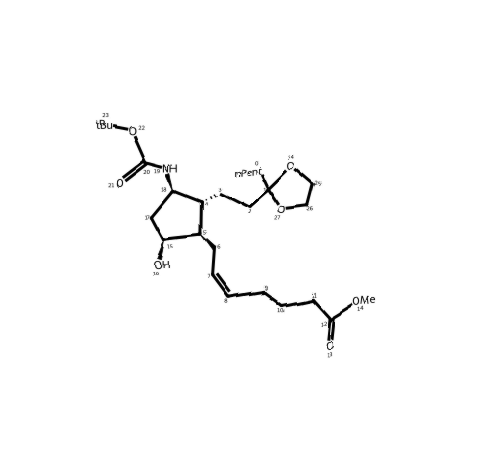 CCCCCC1(CC[C@@H]2[C@@H](C/C=C\CCCC(=O)OC)[C@@H](O)C[C@H]2NC(=O)OC(C)(C)C)OCCO1